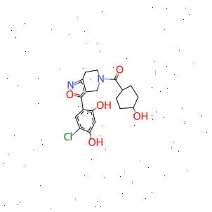 O=C(C1CCC(O)CC1)N1CCc2noc(-c3cc(Cl)c(O)cc3O)c2C1